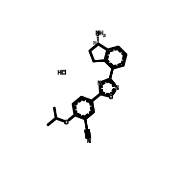 CC(C)Oc1ccc(-c2nc(-c3cccc4c3CC[C@@H]4N)no2)cc1C#N.Cl